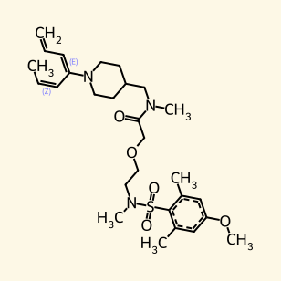 C=C/C=C(\C=C/C)N1CCC(CN(C)C(=O)COCCN(C)S(=O)(=O)c2c(C)cc(OC)cc2C)CC1